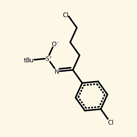 CC(C)(C)[S+]([O-])N=C(CCCCl)c1ccc(Cl)cc1